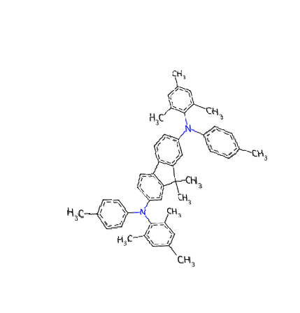 Cc1ccc(N(c2ccc3c(c2)C(C)(C)c2cc(N(c4ccc(C)cc4)c4c(C)cc(C)cc4C)ccc2-3)c2c(C)cc(C)cc2C)cc1